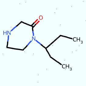 CCC(CC)N1CCNCC1=O